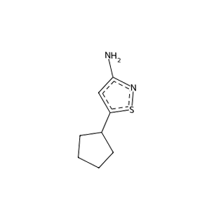 Nc1cc(C2CCCC2)sn1